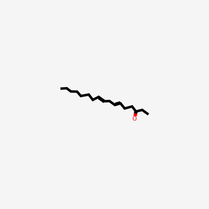 CCCCCCCC=CCC=CCCC(=O)CC